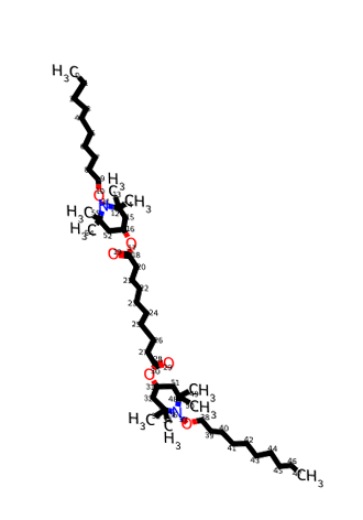 CCCCCCCCCCON1C(C)(C)CC(OC(=O)CCCCCCCCC(=O)OC2CC(C)(C)N(OCCCCCCCCCC)C(C)(C)C2)CC1(C)C